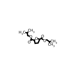 CC(C)COC(=O)C1CCC(C(=O)OCC(C)C)O1